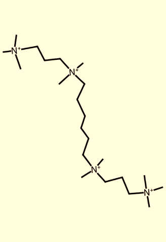 C[N+](C)(C)CCC[N+](C)(C)CCCCCC[N+](C)(C)CCC[N+](C)(C)C